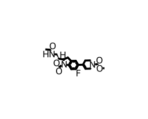 COC(=O)N1CC=C(c2cc3c(cc2F)N2C(=O)O[C@@H](CNC(C)=O)[C@@H]2C3)CC1